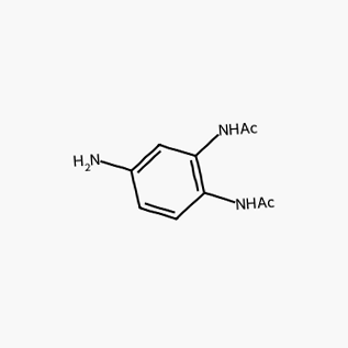 CC(=O)Nc1ccc(N)cc1NC(C)=O